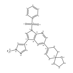 O=S(=O)(c1ccccc1)n1cc(-c2cnn(C(F)(F)F)c2)c2cc(C3=CCC4(CC3)OCCO4)cnc21